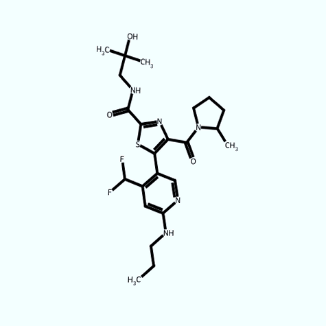 CCCNc1cc(C(F)F)c(-c2sc(C(=O)NCC(C)(C)O)nc2C(=O)N2CCCC2C)cn1